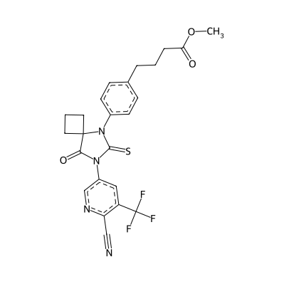 COC(=O)CCCc1ccc(N2C(=S)N(c3cnc(C#N)c(C(F)(F)F)c3)C(=O)C23CCC3)cc1